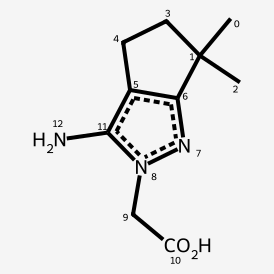 CC1(C)CCc2c1nn(CC(=O)O)c2N